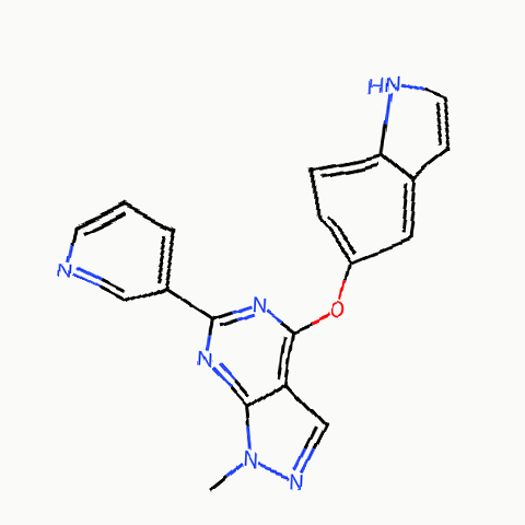 Cn1ncc2c(Oc3ccc4[nH]ccc4c3)nc(-c3cccnc3)nc21